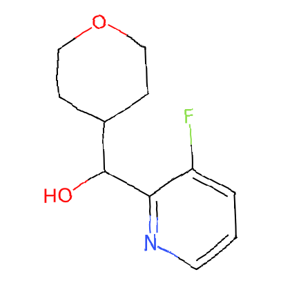 OC(c1ncccc1F)C1CCOCC1